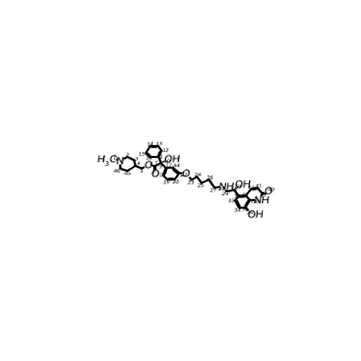 CN1CCC(COC(=O)[C@](O)(c2ccccc2)c2cccc(OCCCCCNC[C@H](O)c3ccc(O)c4[nH]c(=O)ccc34)c2)CC1